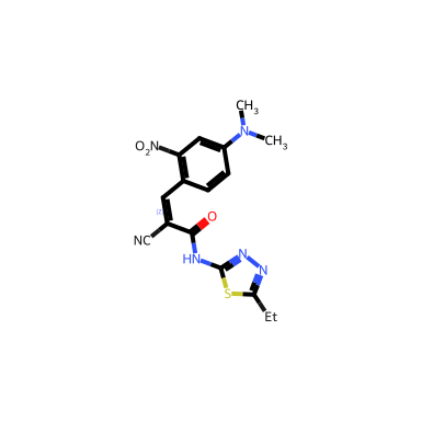 CCc1nnc(NC(=O)/C(C#N)=C\c2ccc(N(C)C)cc2[N+](=O)[O-])s1